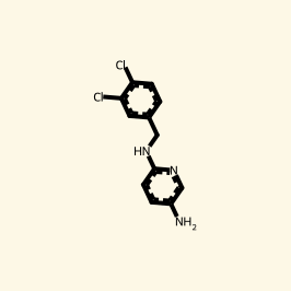 Nc1ccc(NCc2ccc(Cl)c(Cl)c2)nc1